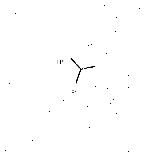 CC(C)C.[F-].[H+]